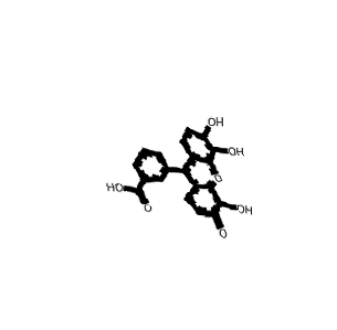 O=C(O)c1cccc(-c2c3ccc(=O)c(O)c-3oc3c(O)c(O)ccc23)c1